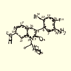 CCn1c(=O)c(-c2cc(N)c(F)cc2Br)cc2cnc(NC)cc21.Cl.Cl